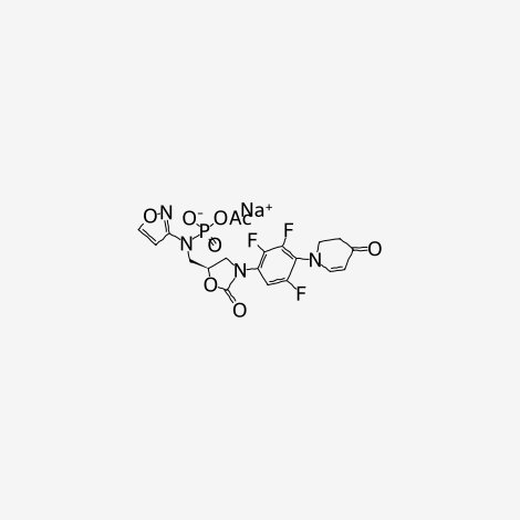 CC(=O)OP(=O)([O-])N(C[C@H]1CN(c2cc(F)c(N3C=CC(=O)CC3)c(F)c2F)C(=O)O1)c1ccon1.[Na+]